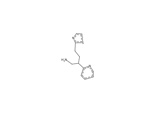 NCC(CCc1nccs1)c1ccccn1